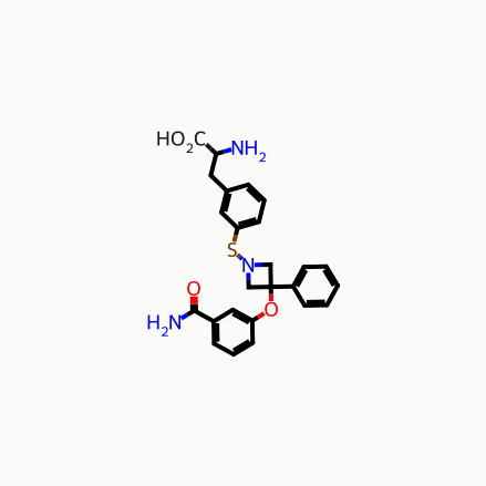 NC(=O)c1cccc(OC2(c3ccccc3)CN(Sc3cccc(CC(N)C(=O)O)c3)C2)c1